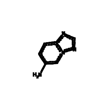 Nc1ccc2ncnn2c1